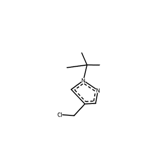 CC(C)(C)n1cc(CCl)cn1